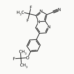 CC(C)(F)Oc1ccc(-c2cnc3c(C#N)nc(C(C)(F)F)n3c2)cc1